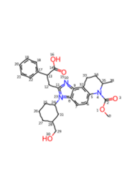 COC(=O)N1c2ccc3c(nc(CC(C(=O)O)c4ccccc4)n3C3CCCC(CO)C3)c2CCC1C